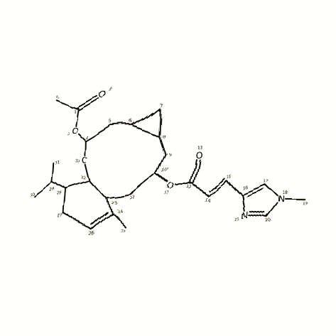 CC(=O)OC1CC2CC2CC(OC(=O)C=Cc2cn(C)cn2)CC2C(C)=CCC(C(C)C)C2C1